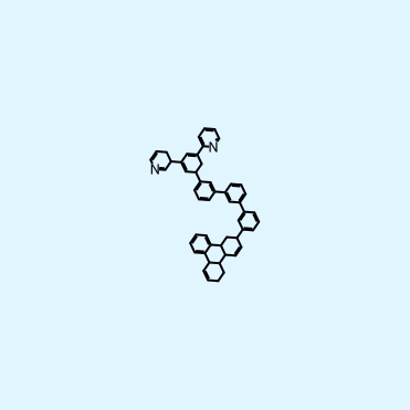 C1=CC2c3ccccc3C3CC(c4cccc(-c5cccc(-c6cccc(C7C=C(C8C=NC=CC8)C=C(c8ccccn8)C7)c6)c5)c4)C=CC3C2CC1